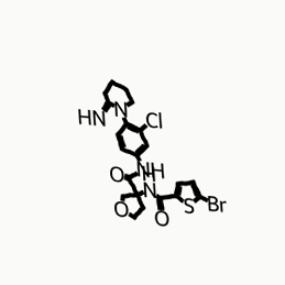 N=C1CCCCN1c1ccc(NC(=O)C2(NC(=O)c3ccc(Br)s3)CCOC2)cc1Cl